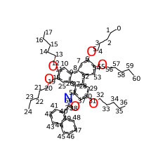 CCCCCOc1cc2c3cc(OCCCCC)c(OCCCCC)cc3c3c(cc(OCCCCC)c4oc(-c5cccc6ccccc56)nc43)c2cc1OCCCCC